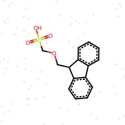 O=S(=O)(O)COCC1c2ccccc2-c2ccccc21